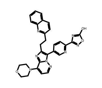 Oc1nc(-c2ccc(-c3c(CCc4ccc5ccccc5n4)nc4c(N5CCOCC5)ccnn34)cn2)no1